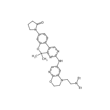 CCN(CC)CCN1CCOc2ncc(Nc3ncc4c(n3)C(C)(C)Oc3cc(N5CCCC5=O)ccc3-4)cc21